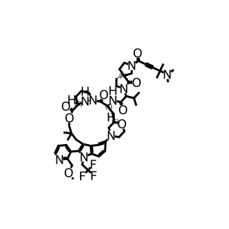 COCc1ncccc1-c1c2c3cc(ccc3n1CC(F)(F)F)N1CCO[C@@H](C[C@H](NC(=O)C(C(C)C)N3CC[C@@]4(CCN(C(=O)C#CC(C)(C)N(C)C)C4)C3=O)C(=O)N3CCC[C@H](N3)C(=O)OCC(C)(C)C2)C1